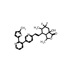 Cc1ccc(-c2ncccc2-c2ccc(C=CC3C(C)C(F)(F)CC4(O)C(=O)OC(C)C34)nc2)s1